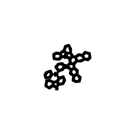 c1ccc(N(c2cccc(-n3c4cc5ccccc5cc4c4c5cc6ccccc6cc5c5c6cccc7c8ccccc8n(c76)c5c43)c2)c2cccc3sc4ccccc4c23)cc1